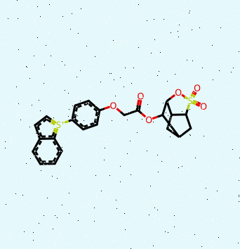 O=C(COc1ccc(-[s+]2ccc3ccccc32)cc1)OC1C2CC3C1OS(=O)(=O)C3C2